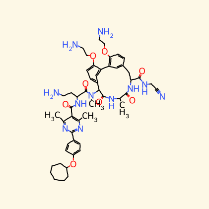 Cc1nc(-c2ccc(OC3CCCCCC3)cc2)nc(C)c1C(=O)NC(CCN)C(=O)N(C)C1C(=O)NC(C)C(=O)NC(C(=O)NCC#N)Cc2ccc(OCCN)c(c2)-c2cc1ccc2OCCN